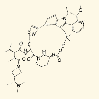 CCn1c(-c2cccnc2[C@H](C)OC)c2c3cc(ccc31)-c1csc(n1)C[C@H](NC(=O)[C@H](C(C)C)N(C)C(=O)N1CC([C@@H](C)N(C)C)C1)C(=O)N1CCC[C@H](N1)C(=O)OCC(C)(C)C2